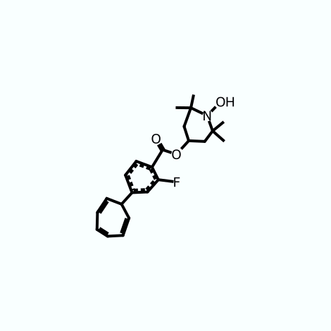 CC1(C)CC(OC(=O)c2ccc(C3C=CC=CC=C3)cc2F)CC(C)(C)N1O